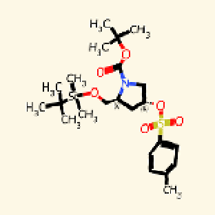 Cc1ccc(S(=O)(=O)O[C@@H]2C[C@@H](CO[Si](C)(C)C(C)(C)C)N(C(=O)OC(C)(C)C)C2)cc1